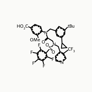 COc1cc(C(=O)O)ccc1N(Cc1cc(C2CC2)cc(C(C)(C)C)c1)C(=O)CN(Cc1ccncc1C(F)(F)F)S(=O)(=O)c1c(F)c(F)c(F)c(F)c1F